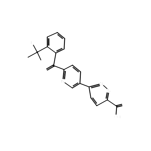 O=C(O)c1ccc(-c2ccc(C(=O)c3ccccc3C(F)(F)F)nc2)nn1